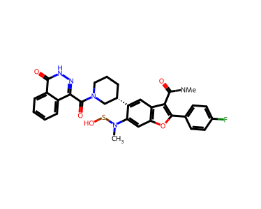 CNC(=O)c1c(-c2ccc(F)cc2)oc2cc(N(C)SO)c([C@H]3CCCN(C(=O)c4n[nH]c(=O)c5ccccc45)C3)cc12